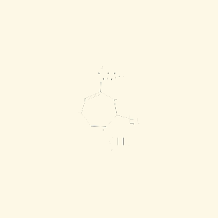 CCC1CC(NC)=CCC[C@H]1C